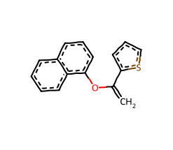 C=C(Oc1cccc2ccccc12)c1cccs1